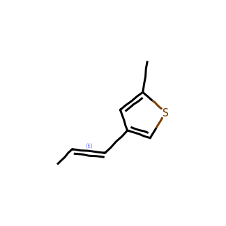 C/C=C/c1csc(C)c1